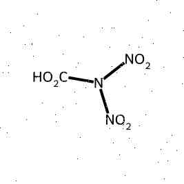 O=C(O)N([N+](=O)[O-])[N+](=O)[O-]